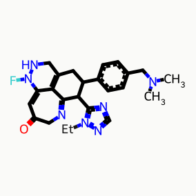 CCn1ncnc1C1C2=NCC(=O)C=C3C2=C(CNN3F)CC1c1ccc(CN(C)C)cc1